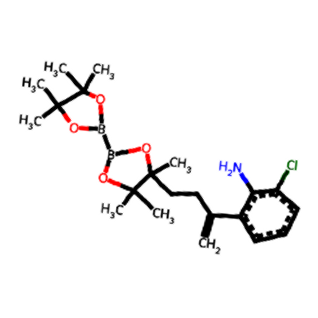 C=C(CCC1(C)OB(B2OC(C)(C)C(C)(C)O2)OC1(C)C)c1cccc(Cl)c1N